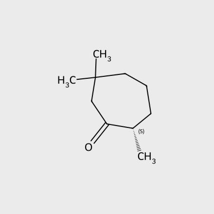 C[C@H]1CCCC(C)(C)CC1=O